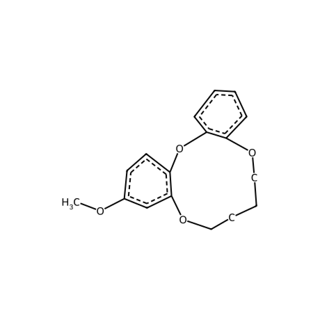 COc1ccc2c(c1)OCCCCOc1ccccc1O2